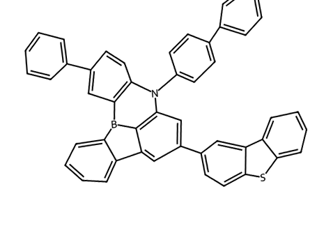 c1ccc(-c2ccc(N3c4ccc(-c5ccccc5)cc4B4c5ccccc5-c5cc(-c6ccc7sc8ccccc8c7c6)cc3c54)cc2)cc1